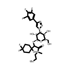 CN(CCC(C)(C)C)C(=O)C(S[C@@H]1O[C@H](CO)[C@H](O)[C@H](n2cc(-c3cc(F)c(F)c(F)c3)nn2)[C@H]1O)C1(O)CCC(F)(F)CC1